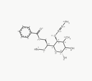 CCCCO[C@@H](COC(=O)c1ccccc1)C1O[C@@H](S)C(O)C(C)[C@@H]1OB=BP